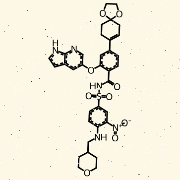 O=C(NS(=O)(=O)c1ccc(NCC2CCOCC2)c([N+](=O)[O-])c1)c1ccc(C2=CCC3(CC2)OCCO3)cc1Oc1cnc2[nH]ccc2c1